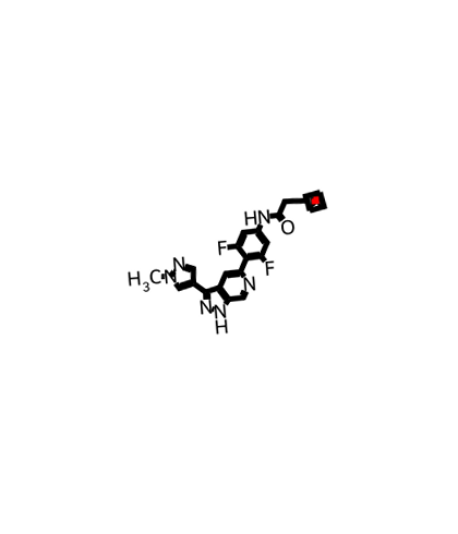 Cn1cc(-c2n[nH]c3cnc(-c4c(F)cc(NC(=O)CN5C=C6CC5C6)cc4F)cc23)cn1